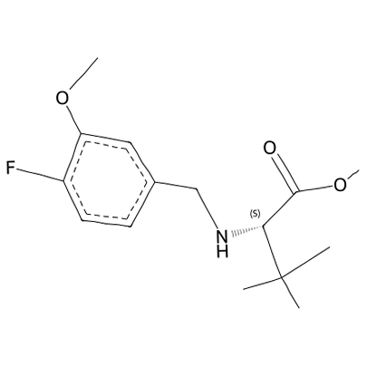 COC(=O)[C@@H](NCc1ccc(F)c(OC)c1)C(C)(C)C